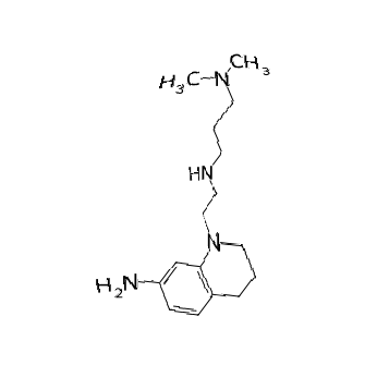 CN(C)CCCNCCN1CCCc2ccc(N)cc21